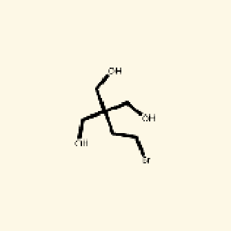 OCC(CO)(CO)CCBr